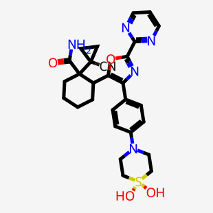 N#CC1(C2(C(N)=O)CCCCC2c2oc(-c3ncccn3)nc2-c2ccc(N3CCS(O)(O)CC3)cc2)CC1